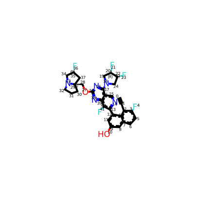 C#Cc1c(F)ccc2cc(O)cc(-c3ncc4c(N5C[C@@H](F)[C@@H](F)C5)nc(OC[C@@]56CCCN5C[C@H](F)C6)nc4c3F)c12